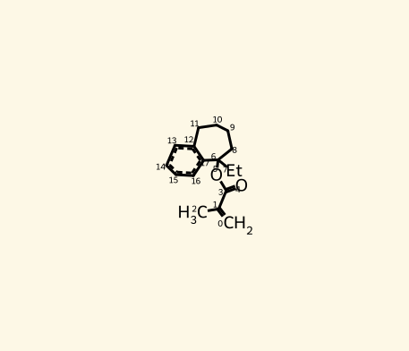 C=C(C)C(=O)OC1(CC)CCCCc2ccccc21